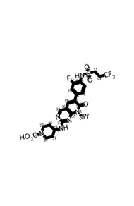 CC(C)n1c(=O)c(-c2ccc(NS(=O)(=O)CCC(F)(F)F)c(F)c2)cc2cnc(NC3CCN(C(=O)O)CC3)nc21